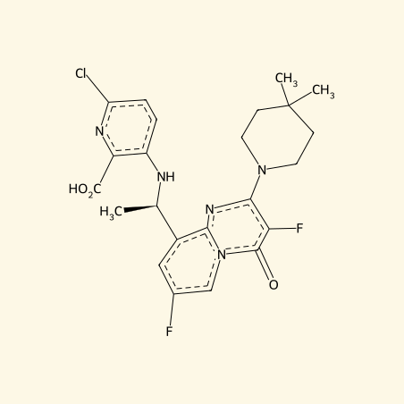 C[C@@H](Nc1ccc(Cl)nc1C(=O)O)c1cc(F)cn2c(=O)c(F)c(N3CCC(C)(C)CC3)nc12